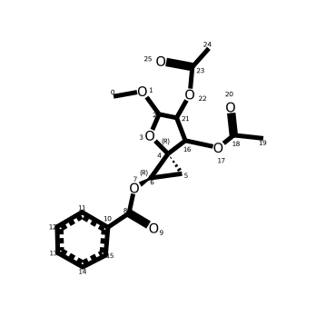 COC1O[C@@]2(C[C@H]2OC(=O)c2ccccc2)C(OC(C)=O)C1OC(C)=O